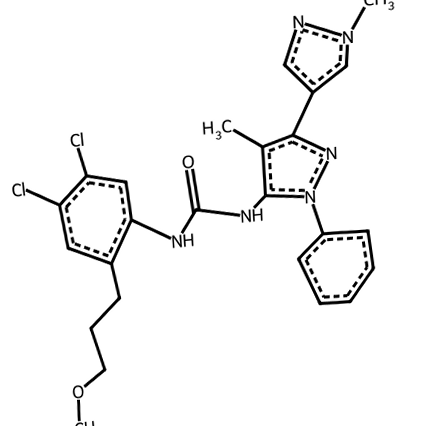 COCCCc1cc(Cl)c(Cl)cc1NC(=O)Nc1c(C)c(-c2cnn(C)c2)nn1-c1ccccc1